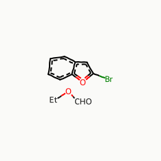 Brc1cc2ccccc2o1.CCOC=O